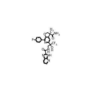 C[C@]1(C(N)=O)COc2c1cc(C(O)(CNC(=O)c1nc3cccnc3[nH]1)C(F)(F)F)nc2-c1ccc(F)cc1